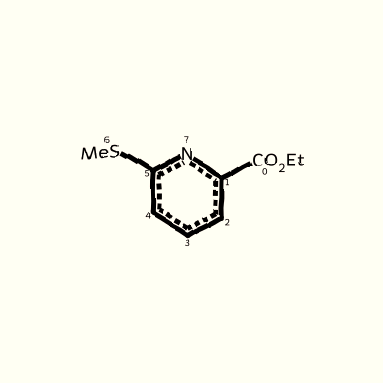 CCOC(=O)c1cccc(SC)n1